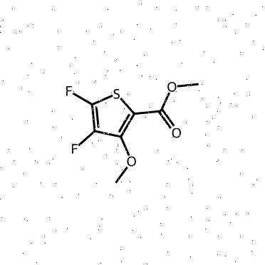 COC(=O)c1sc(F)c(F)c1OC